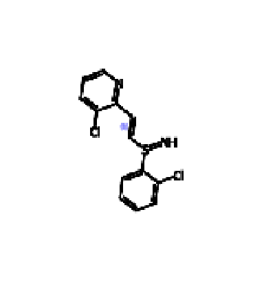 N=S(/C=C/c1ncccc1Cl)c1ccccc1Cl